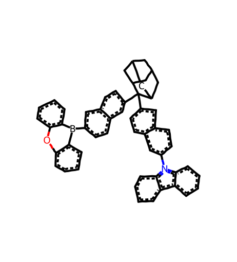 c1ccc2c(c1)Oc1ccccc1B2c1ccc2cc(C3(c4ccc5cc(-n6c7ccccc7c7ccccc76)ccc5c4)C4CC5CC(C4)CC3C5)ccc2c1